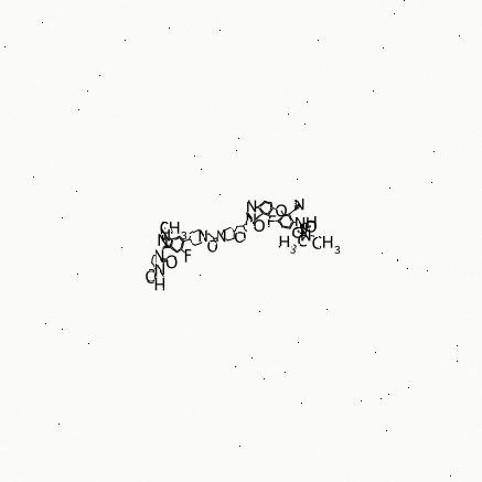 CCN(C)S(=O)(=O)Nc1ccc(F)c(Oc2ccc3ncn([C@H]4COC5(CCN(C(=O)CN6CCC(c7cc8c(cc7F)c(N7CCC(=O)NC7=O)nn8C)CC6)CC5)C4)c(=O)c3c2)c1C#N